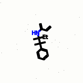 C=CC(=C)NC(C)(CC)C(C)(C)c1ccccc1